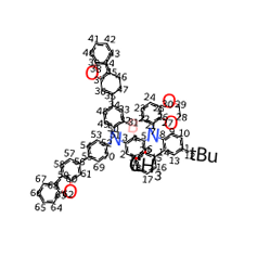 Cc1cc2c3c(c1)N(c1ccc(C(C)(C)C)cc1-c1ccccc1)c1c(ccc4c1OCCO4)B3c1cc(C3=Cc4oc5ccccc5c4CC3)ccc1N2c1ccc(-c2ccc3c(c2)oc2ccccc23)cc1